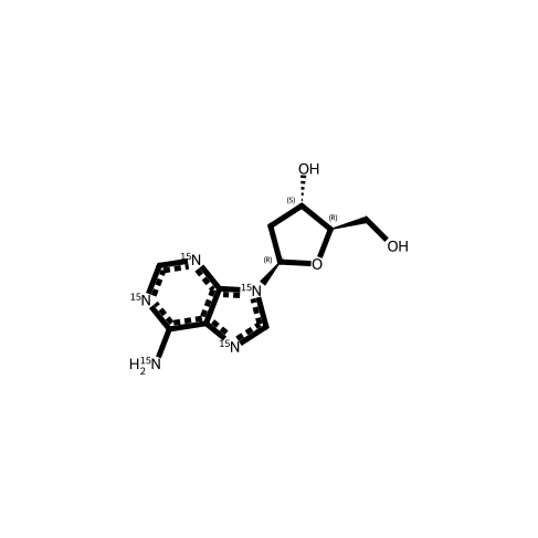 [15NH2]c1[15n]c[15n]c2c1[15n]c[15n]2[C@H]1C[C@H](O)[C@@H](CO)O1